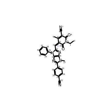 CCN1C(=O)C(C#N)=C(C)/C(=C/c2nc3c(nc(-c4ccc(C#N)cc4)n3C)n2-c2ccccc2)C1=O